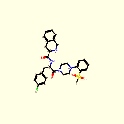 CS(=O)(=O)c1ccccc1N1CCN(C(=O)[C@@H](Cc2ccc(Cl)cc2)NC(=O)[C@H]2Cc3ccccc3CN2)CC1